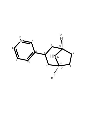 c1cncc(C2C[C@H]3CC[C@@H](C2)N3)c1